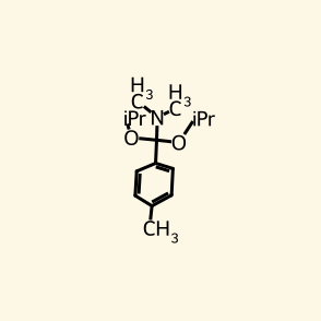 Cc1ccc(C(OC(C)C)(OC(C)C)N(C)C)cc1